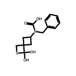 O=C(O)N(Cc1ccccc1)C1CC2(CSC2(O)O)C1